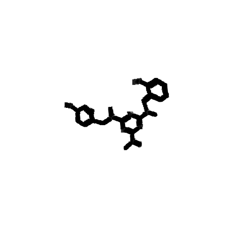 CN(C)c1nc(N(C)Cc2ccc(O)cc2)nc(N(C)Cc2ccccc2O)n1